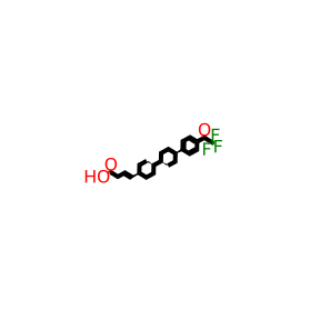 O=C(O)CC=C[C@H]1CC[C@H]([C@H]2CC[C@H](c3ccc(C(=O)C(F)(F)F)cc3)CC2)CC1